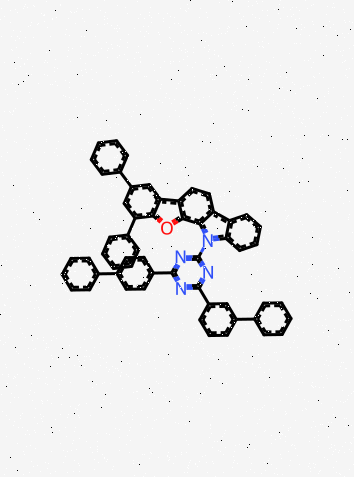 c1ccc(-c2ccc(-c3nc(-c4cccc(-c5ccccc5)c4)nc(-n4c5ccccc5c5ccc6c7cc(-c8ccccc8)cc(-c8ccccc8)c7oc6c54)n3)cc2)cc1